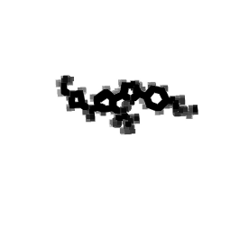 CCNS(=O)(=O)c1cc(NC2CN(CC(C)C)C2)ccc1-c1cnc(C2CCC(NC(=O)O)CC2)s1